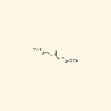 COOCCNCCOOC